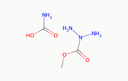 COC(=O)N(N)N.NC(=O)O